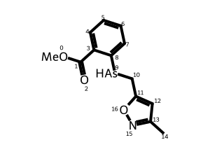 COC(=O)c1ccccc1[AsH]Cc1cc(C)no1